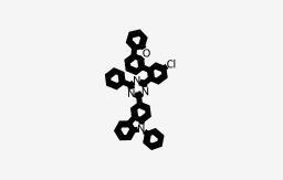 Clc1ccc(-c2nc(-c3ccccc3)nc(-c3ccc4c(c3)c3ccccc3n4-c3ccccc3)n2)c(-c2cccc3c2oc2ccccc23)c1